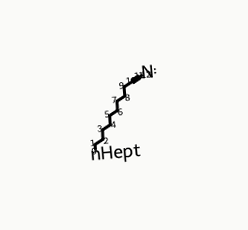 CCCCCCCCCCCCCCCCC#C[N]